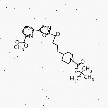 COC(=O)c1cccc(-c2cnc(C(=O)CCCC3CCN(C(=O)OC(C)(C)C)CC3)o2)n1